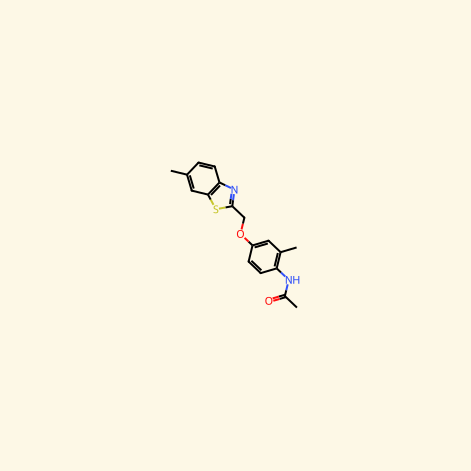 CC(=O)Nc1ccc(OCc2nc3ccc(C)cc3s2)cc1C